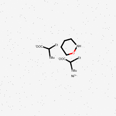 C1C[CH2][AlH][O]C1.CCCCC(CC)C(=O)[O-].CCCCC(CC)C(=O)[O-].[Ni+2]